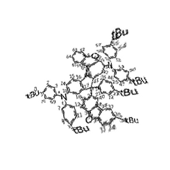 CC(C)(C)c1ccc(N(c2ccc(C(C)(C)C)cc2)c2ccc3c(c2)C(c2ccc(C(C)(C)C)cc2)(c2ccc4oc5ccc(C(C)(C)C)cc5c4c2)c2cc(N(c4ccc(C(C)(C)C)cc4)c4ccc(C(C)(C)C)cc4)c4oc5ccccc5c4c2-3)cc1